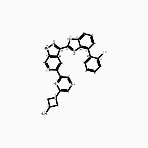 NC1CN(c2cncc(-c3cc4c(-c5nc6c(-c7ccccc7F)cccc6[nH]5)n[nH]c4cn3)n2)C1